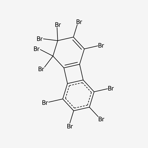 BrC1=C(Br)C(Br)(Br)C(Br)(Br)C2=C1c1c(Br)c(Br)c(Br)c(Br)c12